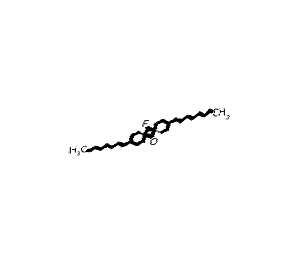 CCCCCCCCC1CC[C@]2(CC1)C(=O)[C@@]1(CCC(CCCCCCCC)CC1)C2F